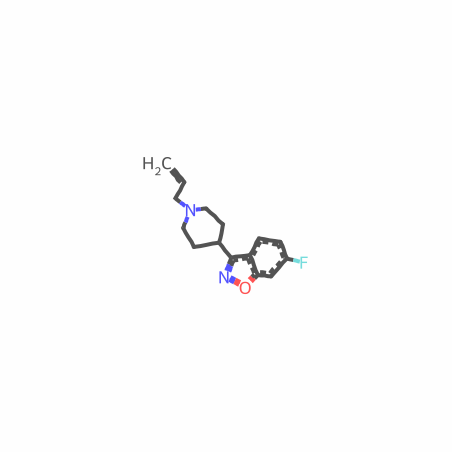 C=CCN1CCC(c2noc3cc(F)ccc23)CC1